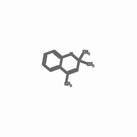 CC1=CC(C)(C)[N]c2ccccc21